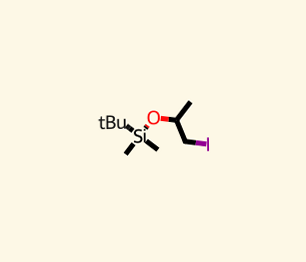 CC(CI)O[Si](C)(C)C(C)(C)C